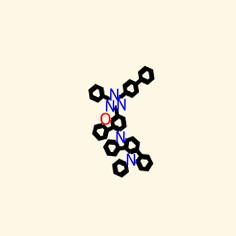 c1ccc(-c2ccc(-c3nc(-c4ccccc4)nc(-c4ccc(-n5c6ccccc6c6c5ccc5c7ccccc7n(-c7ccccc7)c56)c5c4oc4ccccc45)n3)cc2)cc1